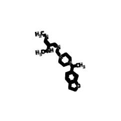 C=N/C=C(\C=N/CN1CCN(C(C)c2ccc3c(c2)OCC3)CC1)NC